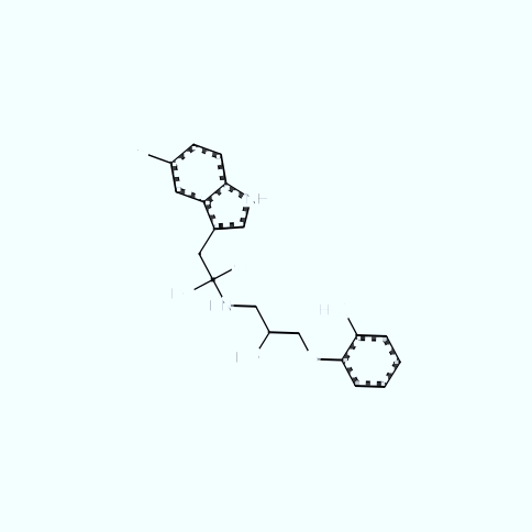 Cc1ccccc1OCC(O)CNC(C)(C)Cc1c[nH]c2ccc(Br)cc12